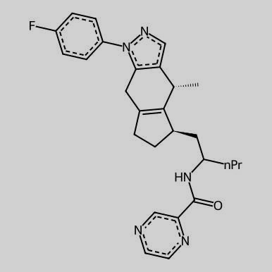 CCCC(C[C@H]1CCC2=C1[C@@H](C)c1cnn(-c3ccc(F)cc3)c1C2)NC(=O)c1cnccn1